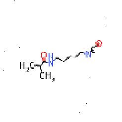 C=C(C)C(=O)NCCCCCN=C=O